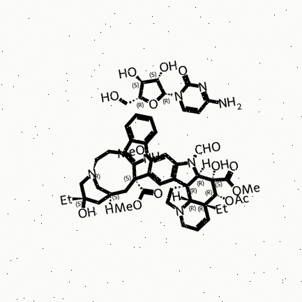 CC[C@]1(O)C[C@H]2C[N@](CCc3c([nH]c4ccccc34)[C@@](C(=O)OC)(c3cc4c(cc3OC)N(C=O)[C@H]3[C@@](O)(C(=O)OC)[C@H](OC(C)=O)[C@]5(CC)C=CCN6CC[C@]43[C@@H]65)C2)C1.Nc1ccn([C@@H]2O[C@H](CO)[C@@H](O)[C@@H]2O)c(=O)n1